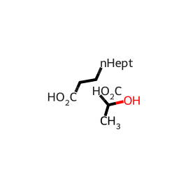 CC(O)C(=O)O.CCCCCCCCCC(=O)O